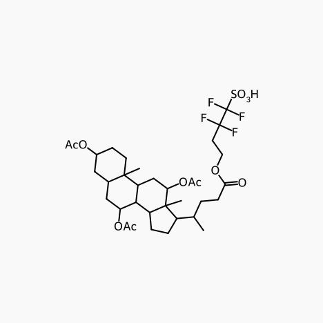 CC(=O)OC1CCC2(C)C(C1)CC(OC(C)=O)C1C2CC(OC(C)=O)C2(C)C(C(C)CCC(=O)OCCC(F)(F)C(F)(F)S(=O)(=O)O)CCC12